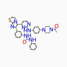 CC(=O)N1CCN(c2ccc(Nc3nccc(-c4c(-c5cccc(NC(=O)Nc6ccccc6)c5)nc5sccn45)n3)cc2)CC1